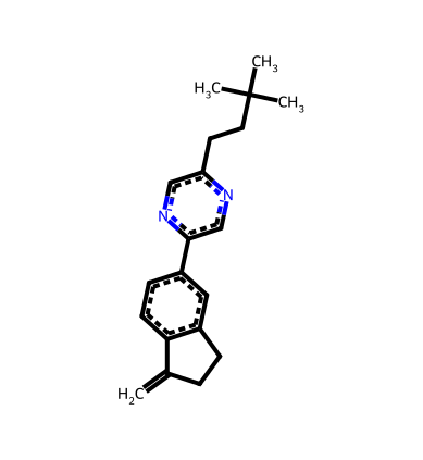 C=C1CCc2cc(-c3cnc(CCC(C)(C)C)cn3)ccc21